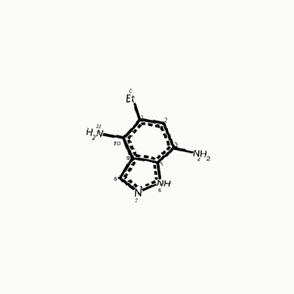 CCc1cc(N)c2[nH]ncc2c1N